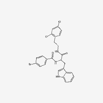 O=C(NC(Cc1c[nH]c2ccccc12)C(=O)NCCc1ccc(Cl)cc1Cl)c1ccc(Br)cc1